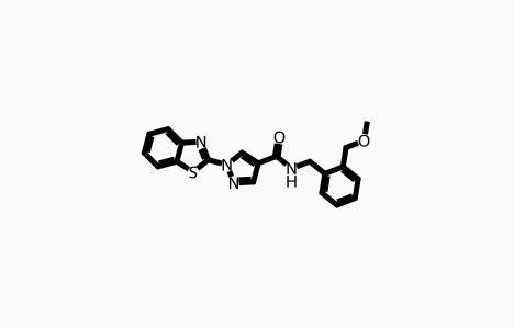 COCc1ccccc1CNC(=O)c1cnn(-c2nc3ccccc3s2)c1